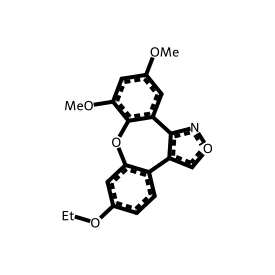 CCOc1ccc2c(c1)Oc1c(OC)cc(OC)cc1-c1nocc1-2